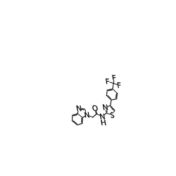 O=C(Cn1cnc2ccccc21)Nc1nc(-c2ccc(C(F)(F)F)cc2)cs1